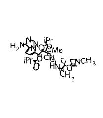 COC(C#N)(COCN[C@@H](C)C(=O)O[C@H]1CCN(C)C1)[C@@H](OC(=O)C(C)C)[C@@H](OC(=O)C(C)C)c1ccc2c(N)ncnn12